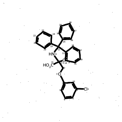 CC(COc1cccc(Cl)c1)(NC(c1ccccc1)(c1ccccc1)c1ccccc1)C(=O)O